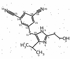 CC(C)c1nc(CCO)[nH]c1Sc1cc(C#N)cc(C#N)c1